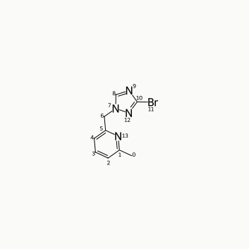 Cc1cccc(Cn2cnc(Br)n2)n1